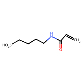 C=CC(=O)NCCCCS(=O)(=O)O